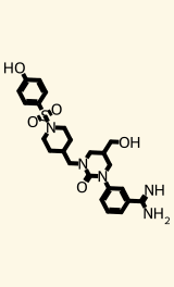 N=C(N)c1cccc(N2CC(CO)CN(CC3CCN(S(=O)(=O)c4ccc(O)cc4)CC3)C2=O)c1